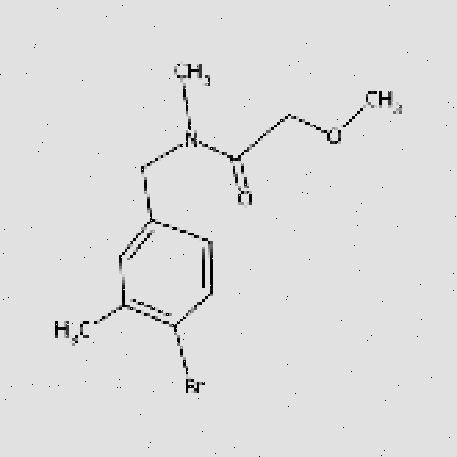 COCC(=O)N(C)Cc1ccc(Br)c(C)c1